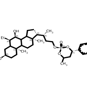 CC[C@@H]1C2C[C@H](O)CC[C@]2(C)C2CC[C@@]3(C)C(CC[C@@H]3[C@H](C)CCO[P@]3(=O)OC(C)C[C@@H](c4ccncc4)O3)C2[C@@H]1O